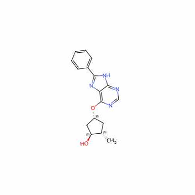 [CH2][C@H]1C[C@@H](Oc2ncnc3[nH]c(-c4ccccc4)nc23)C[C@@H]1O